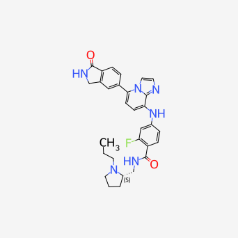 CCCN1CCC[C@H]1CNC(=O)c1ccc(Nc2ccc(-c3ccc4c(c3)CNC4=O)n3ccnc23)cc1F